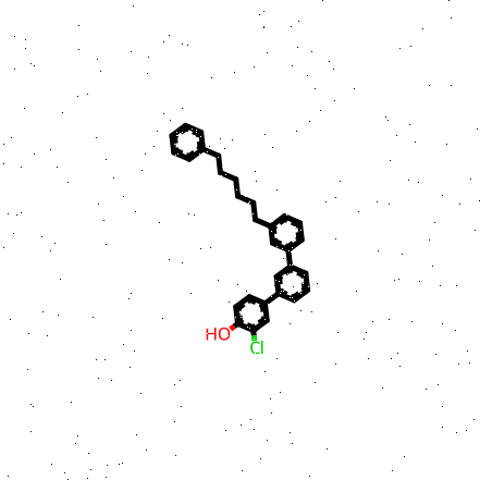 Oc1ccc(-c2cccc(-c3cccc(CCCCCCc4ccccc4)c3)c2)cc1Cl